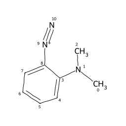 CN(C)c1ccccc1[N+]#N